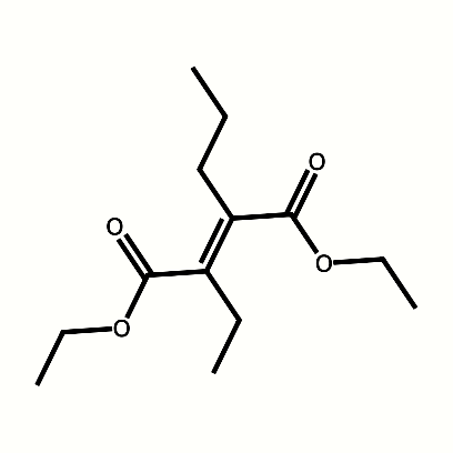 CCCC(C(=O)OCC)=C(CC)C(=O)OCC